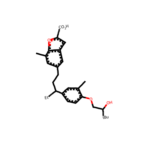 CCC(CCc1cc(C)c2oc(C(=O)O)cc2c1)c1ccc(OCC(O)C(C)(C)C)c(C)c1